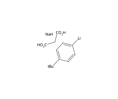 O=C(O)CC(=O)O.[Li][c]1ccc(C(C)(C)C)cc1.[NaH]